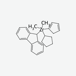 [CH3][Zr]([CH3])([C]1=CC=CC1)([CH]1CCCC1)[CH]1c2ccccc2-c2ccccc21